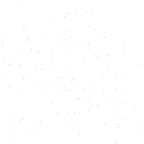 CCCCCCCCC(CCCCC(=O)O)Sc1nc(OCCN2CCN(C)CC2)nc(C(S)CCCCCC)n1